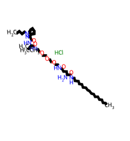 C=CCCCn1nc(C(=O)N[C@H](C(=O)NCCOCCOCCOCCNC(=O)CC[C@H](N)C(=O)NCCCCCCCCCCCCCCCCCC)C(C)(C)C)c2ccccc21.Cl